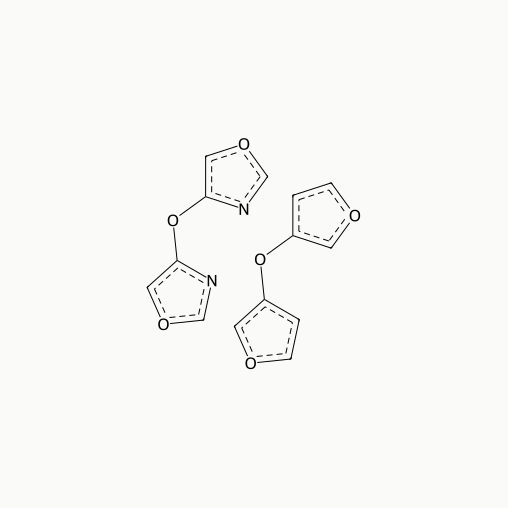 c1cc(Oc2ccoc2)co1.c1nc(Oc2cocn2)co1